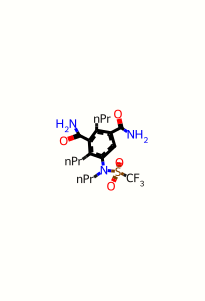 CCCc1c(C(N)=O)cc(N(CCC)S(=O)(=O)C(F)(F)F)c(CCC)c1C(N)=O